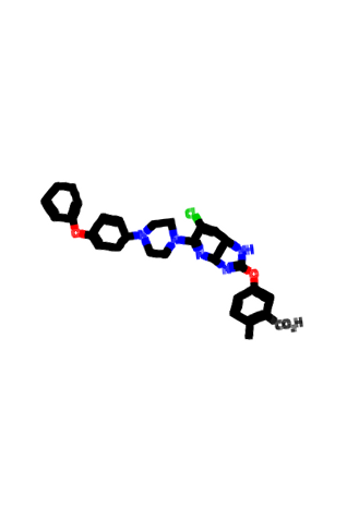 Cc1ccc(OC2=NC3N=C(N4CCN(C5C=CC(OC6=CCCC=C6)=CC5)CC4)C(Cl)=CC3N2)cc1C(=O)O